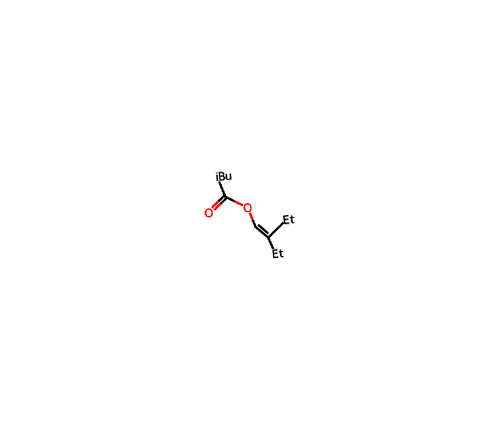 CCC(=COC(=O)C(C)CC)CC